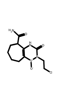 NC(=O)C1CCCCC2=C1NC(=O)N(CCCl)[S+]2[O-]